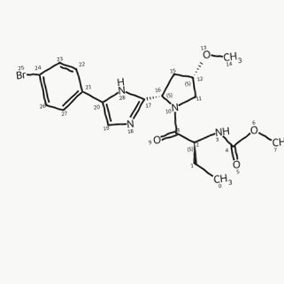 CC[C@H](NC(=O)OC)C(=O)N1C[C@@H](OC)C[C@H]1c1ncc(-c2ccc(Br)cc2)[nH]1